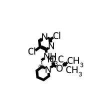 CC(C)(C)OC(=O)N1CCCC[C@@H]1CNc1nc(Cl)ncc1Cl